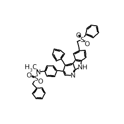 CN(c1ccc(-c2cnc3[nH]c4ccc(CS(=O)(=O)c5ccccc5)cc4c3c2-c2ccccc2)cc1)S(=O)(=O)Cc1ccccc1